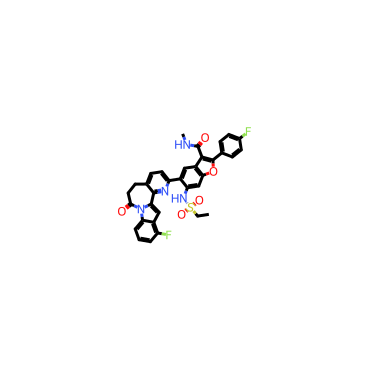 CCS(=O)(=O)Nc1cc2oc(-c3ccc(F)cc3)c(C(=O)NC)c2cc1-c1ccc2c(n1)-c1cc3c(F)cccc3n1C(=O)CC2